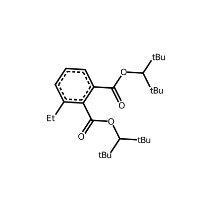 CCc1cccc(C(=O)OC(C(C)(C)C)C(C)(C)C)c1C(=O)OC(C(C)(C)C)C(C)(C)C